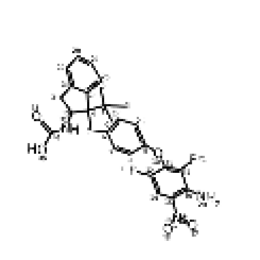 CC(C)(C)C1(Cc2ccc(Oc3c(F)cc([N+](=O)[O-])c(N)c3F)cc2)c2ccccc2CC1NC(=O)O